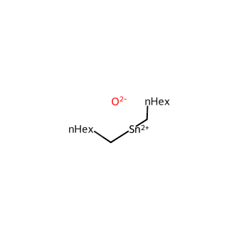 CCCCCC[CH2][Sn+2][CH2]CCCCCC.[O-2]